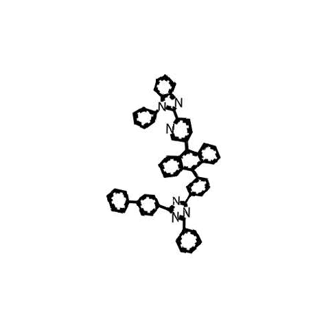 c1ccc(-c2ccc(-c3nc(-c4ccccc4)nc(-c4cccc(-c5c6ccccc6c(-c6ccc(-c7nc8ccccc8n7-c7ccccc7)nc6)c6ccccc56)c4)n3)cc2)cc1